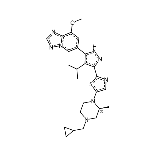 COc1cc(-c2[nH]nc(-c3ncc(N4CCN(CC5CC5)C[C@@H]4C)s3)c2C(C)C)cn2ncnc12